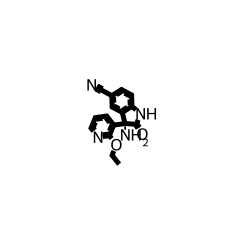 CCOc1ncccc1[C@]1(N)C(=O)Nc2ccc(C#N)cc21